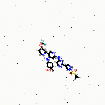 CC1(O)CCC(Nc2cc(Nc3ccnc(-c4cnn(S(=O)(=O)C5CC5)c4)n3)ncc2-c2cc(OC(F)F)ccn2)CC1